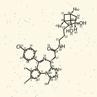 Cc1sc2c(c1C)C(c1ccc(Cl)cc1)=N[C@@H](CC(=O)NCCC[C@@]1(O)[C@@H]3C[C@H](C[C@@H]1O)C3(C)C)c1nnc(C)n1-2